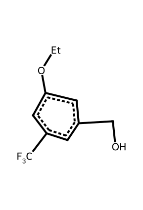 CCOc1cc(CO)cc(C(F)(F)F)c1